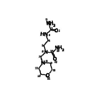 NC(=O)NCCN(CN1CCOCC1)C(N)=O